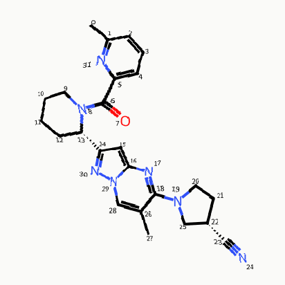 Cc1cccc(C(=O)N2CCCC[C@H]2c2cc3nc(N4CC[C@H](C#N)C4)c(C)cn3n2)n1